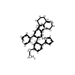 COc1ccc(-c2ccc[nH]2)c(-c2cc3c(cc2-c2ccccc2)c2c4n3CCN=C4CCC2)c1